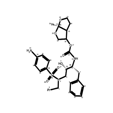 CC(C)CN(C[C@H](O)[C@@H](Cc1ccccc1)NC(=O)OC1CO[C@H]2OCCC12)S(=O)(=O)c1ccc(N)cc1